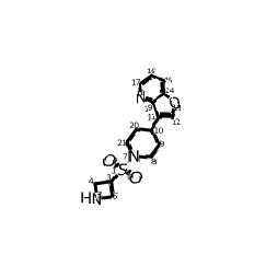 O=S(=O)(C1CNC1)N1CCC(c2coc3cccnc23)CC1